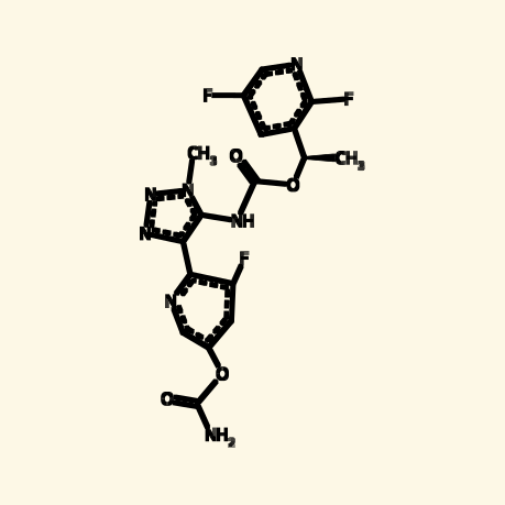 C[C@@H](OC(=O)Nc1c(-c2ncc(OC(N)=O)cc2F)nnn1C)c1cc(F)cnc1F